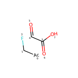 CC(=O)CF.O=CC(=O)O